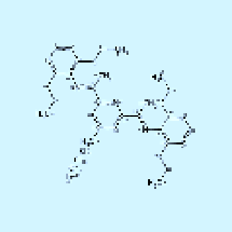 CCCc1cccc(CCC)c1N=C(C)c1cc(C)cc(C(C)=Nc2c(CCC)cccc2CCC)n1.[Cl-].[Cl-].[Cl-].[Fe+3]